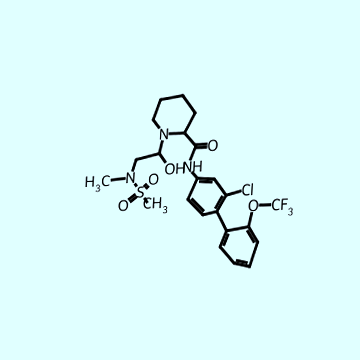 CN(CC(O)N1CCCCC1C(=O)Nc1ccc(-c2ccccc2OC(F)(F)F)c(Cl)c1)S(C)(=O)=O